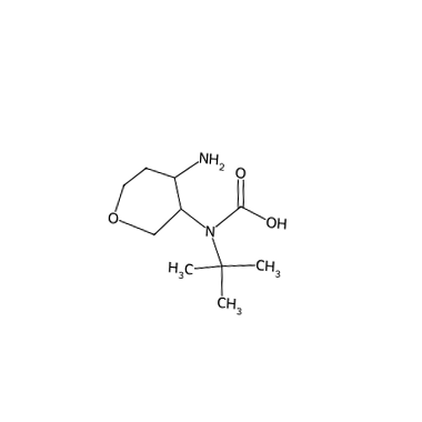 CC(C)(C)N(C(=O)O)C1COCCC1N